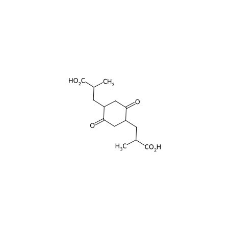 CC(CC1CC(=O)C(CC(C)C(=O)O)CC1=O)C(=O)O